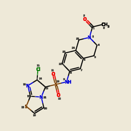 CC(=O)N1CCc2cc(NS(=O)(=O)C3C(Cl)N=C4SC=CN43)ccc2C1